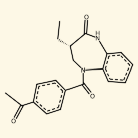 CC[C@H]1CN(C(=O)c2ccc(C(C)=O)cc2)c2ccccc2NC1=O